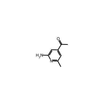 CC(=O)c1cc(C)nc(N)c1